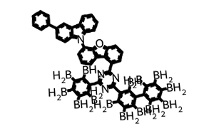 Bc1c(B)c(B)c(-c2nc(-c3c(B)c(B)c(B)c(-c4c(B)c(B)c(B)c(B)c4B)c3B)nc(-c3cccc4oc5c(-n6c7ccccc7c7cc(-c8ccccc8)ccc76)cccc5c34)n2)c(B)c1B